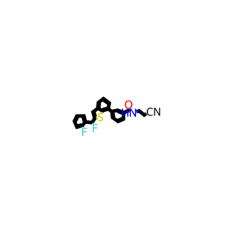 N#CCCNC(=O)c1cccc(-c2cccc3cc(C(F)c4ccccc4F)sc23)c1